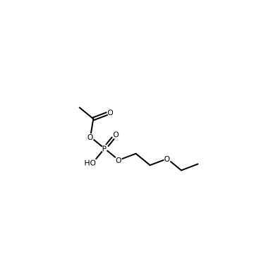 CCOCCOP(=O)(O)OC(C)=O